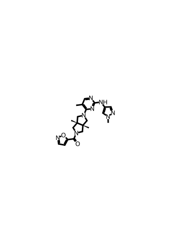 Cc1cnc(Nc2cnn(C)c2)nc1N1C[C@]2(C)CN(C(=O)c3ccno3)C[C@]2(C)C1